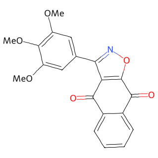 COc1cc(-c2noc3c2C(=O)c2ccccc2C3=O)cc(OC)c1OC